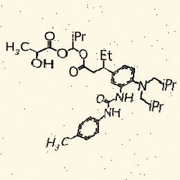 CCC(CC(=O)OC(OC(=O)C(C)O)C(C)C)c1ccc(N(CC(C)C)CC(C)C)c(NC(=O)Nc2ccc(C)cc2)c1